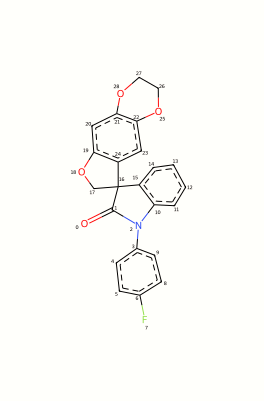 O=C1N(c2ccc(F)cc2)c2ccccc2C12COc1cc3c(cc12)OCCO3